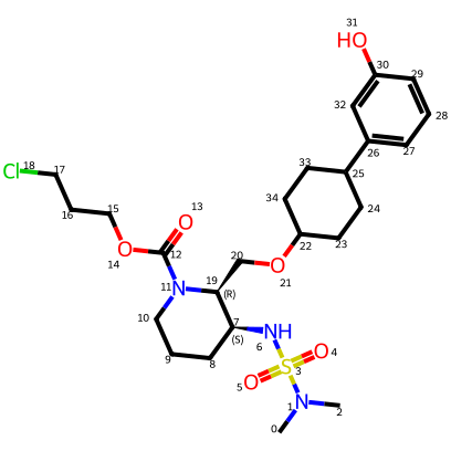 CN(C)S(=O)(=O)N[C@H]1CCCN(C(=O)OCCCCl)[C@H]1COC1CCC(c2cccc(O)c2)CC1